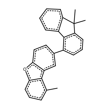 Cc1cccc2oc3ccc(-c4cccc5c4-c4ccccc4C5(C)C)cc3c12